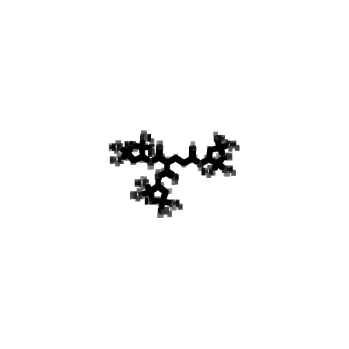 CC1(C)CC(OC(=O)CCC(C(=O)OC2CC(C)(C)NC2(C)C)C(=O)OC2CC(C)(C)NC2(C)C)C(C)(C)N1